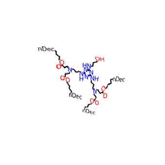 CCCCCCCCCCCCCCOC(=O)CCN(CCCNc1nc(NCCCO)nc(NCCCN(CCC(=O)OCCCCCCCCCCCCCC)CCC(=O)OCCCCCCCCCCCCCC)n1)CCC(=O)OCCCCCCCCCCCCCC